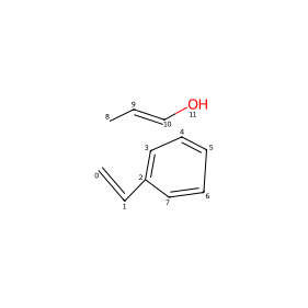 C=Cc1ccccc1.CC=CO